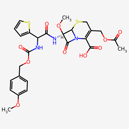 COc1ccc(COC(=O)NC(C(=O)N[C@@]2(OC)C(=O)N3C(C(=O)O)=C(COC(C)=O)CSC32)c2cccs2)cc1